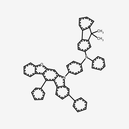 CC1(C)c2ccccc2-c2ccc(N(c3ccccc3)c3ccc(-n4c5cc(-c6ccccc6)ccc5c5c(-c6ccccc6)c6c(cc54)oc4ccccc46)cc3)cc21